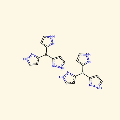 c1cc(B(c2cc[nH]n2)c2cc[nH]n2)n[nH]1.c1cc(B(c2cc[nH]n2)c2cc[nH]n2)n[nH]1